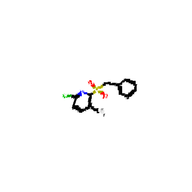 O=[N+]([O-])c1ccc(Cl)nc1S(=O)(=O)Cc1ccccc1